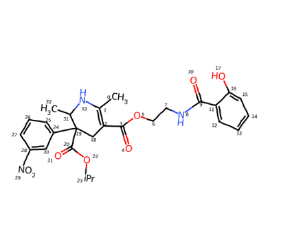 CC1=C(C(=O)OCCNC(=O)c2ccccc2O)CC(C(=O)OC(C)C)(c2cccc([N+](=O)[O-])c2)C(C)N1